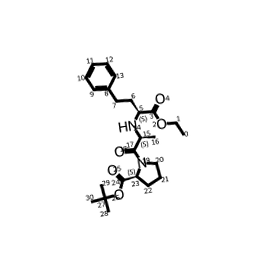 CCOC(=O)[C@H](CCc1ccccc1)N[C@@H](C)C(=O)N1CCC[C@H]1C(=O)OC(C)(C)C